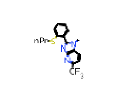 CCCSc1ccccc1-c1nc2nc(C(F)(F)F)ccc2n1C